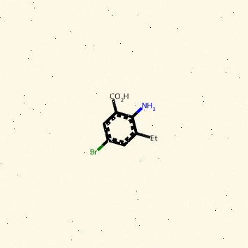 CCc1cc(Br)cc(C(=O)O)c1N